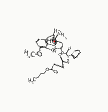 CCCCOC(=O)CCC(=O)O[C@H](C(=O)OC1=CC[C@@]2(O)[C@H]3Cc4ccc(OC)c5c4[C@@]2(CCN3C)[C@H]1O5)c1ccccc1